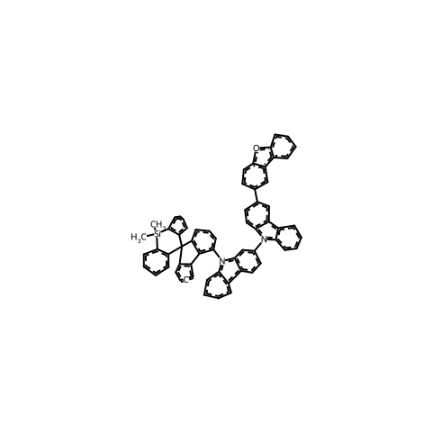 C[Si]1(C)c2ccccc2C2(c3ccccc3-c3c(-n4c5ccccc5c5ccc(-n6c7ccccc7c7cc(-c8ccc9oc%10ccccc%10c9c8)ccc76)cc54)cccc32)c2ccccc21